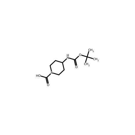 CC(C)(C)OC(=O)NC1CCN(C(=O)O)CC1